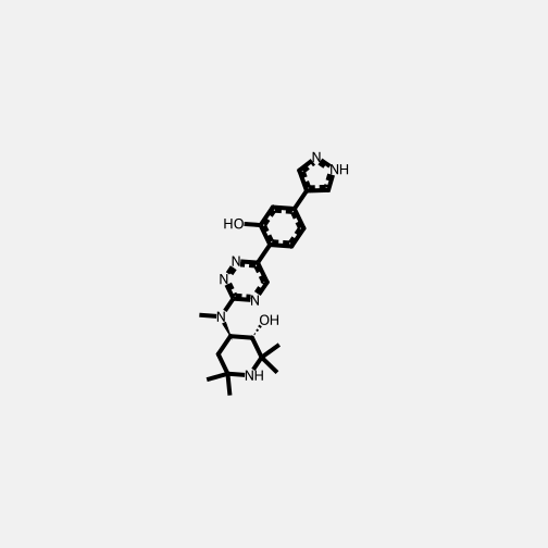 CN(c1ncc(-c2ccc(-c3cn[nH]c3)cc2O)nn1)[C@@H]1CC(C)(C)NC(C)(C)[C@H]1O